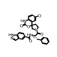 O=C1Nc2ccc(Cl)cc2C2(CCN(C(=O)[C@H](Cc3ccccc3)NC(=O)c3ccc4[nH]ncc4c3)C2)O1